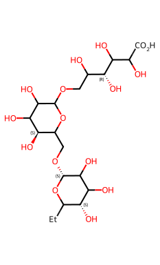 CCC1O[C@H](OCC2OC(OCC(O)[C@@H](O)C(O)C(O)C(=O)O)C(O)C(O)[C@@H]2O)C(O)C(O)[C@@H]1O